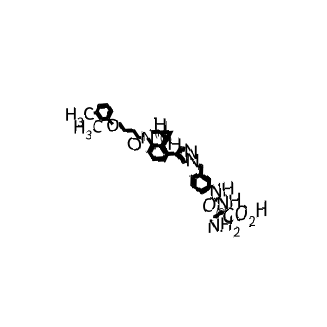 Cc1cccc(OCCCC(=O)N2C[C@@H]3C[C@@H]3c3c(-c4cnn(Cc5cccc(NC(=O)N[C@@H](CN)C(=O)O)c5)c4)cccc32)c1C